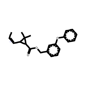 C/C=C\C1C(C(=O)OCc2cccc(Oc3ccccc3)c2)C1(C)C